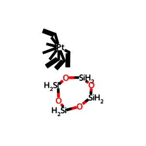 C=[CH][Pt]([CH3])([CH3])([CH3])([CH3])([CH]=C)([CH]=C)[CH]=C.O1[SiH2]O[SiH2]O[SiH2]O[SiH2]1